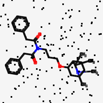 CN1C2(C)CCC(C(OCCCN(C(=O)Cc3ccccc3)C(=O)Cc3ccccc3)C2)C1(C)C